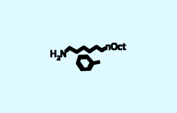 CCCCCCCCCCCCCCN.Cc1ccccc1